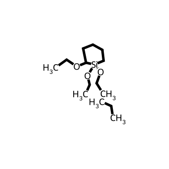 CCC.CCOC1CCCC[Si]1(OCC)OCC